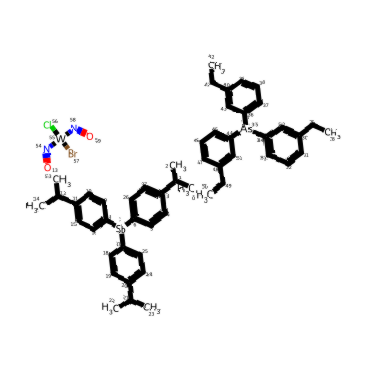 CC(C)c1cc[c]([Sb]([c]2ccc(C(C)C)cc2)[c]2ccc(C(C)C)cc2)cc1.CCc1cccc([As](c2cccc(CC)c2)c2cccc(CC)c2)c1.O=[N][W]([Cl])([Br])[N]=O